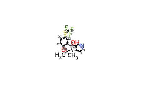 CC1(C)CC(O)(c2cccnc2)c2cc(SC(F)(F)F)ccc2O1